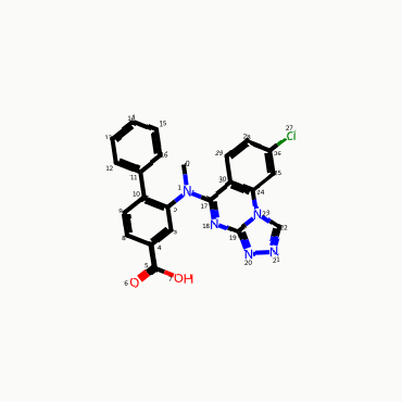 CN(c1cc(C(=O)O)ccc1-c1ccccc1)c1nc2nncn2c2cc(Cl)ccc12